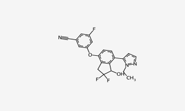 CCn1nccc1-c1ccc(Oc2cc(F)cc(C#N)c2)c2c1C(O)C(F)(F)C2